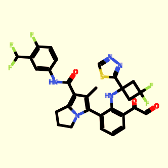 Cc1c(C(=O)Nc2ccc(F)c(C(F)F)c2)c2n(c1-c1cccc(C(=O)C=O)c1NC1(c3nncs3)CC(F)(F)C1)CCC2